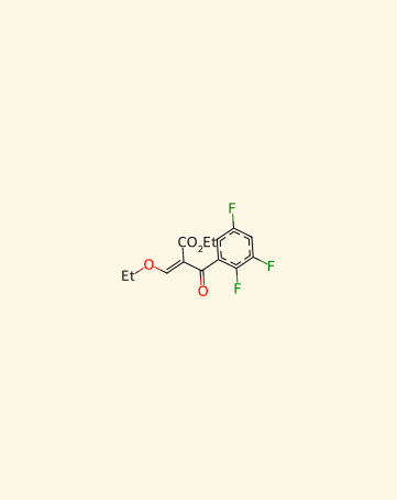 CCO/C=C(\C(=O)OCC)C(=O)c1cc(F)cc(F)c1F